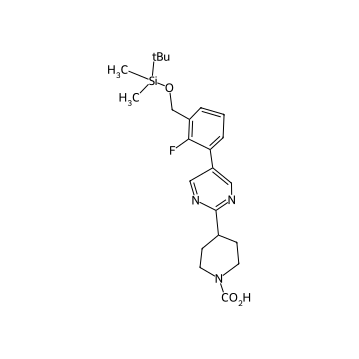 CC(C)(C)[Si](C)(C)OCc1cccc(-c2cnc(C3CCN(C(=O)O)CC3)nc2)c1F